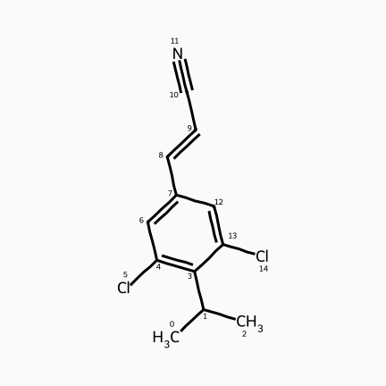 CC(C)c1c(Cl)cc(/C=C/C#N)cc1Cl